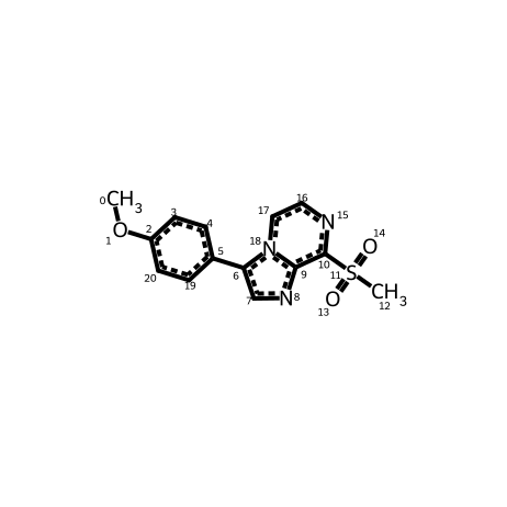 COc1ccc(-c2cnc3c(S(C)(=O)=O)nccn23)cc1